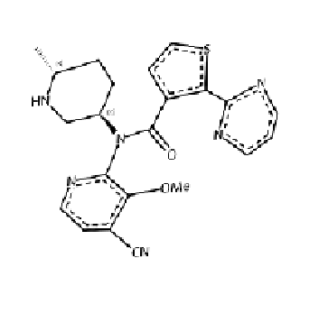 COc1c(C#N)ccnc1N(C(=O)c1ccsc1-c1ncccn1)[C@@H]1CC[C@@H](C)NC1